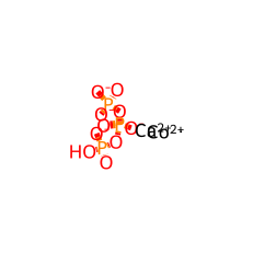 O=P([O-])([O-])OP(=O)([O-])OP(=O)([O-])O.[Ca+2].[Co+2]